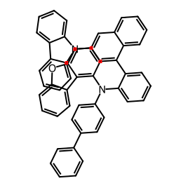 c1ccc(-c2ccc(N(c3ccccc3-c3cc(-n4c5ccccc5c5ccccc54)cc4ccccc34)c3cccc4oc5ccccc5c34)cc2)cc1